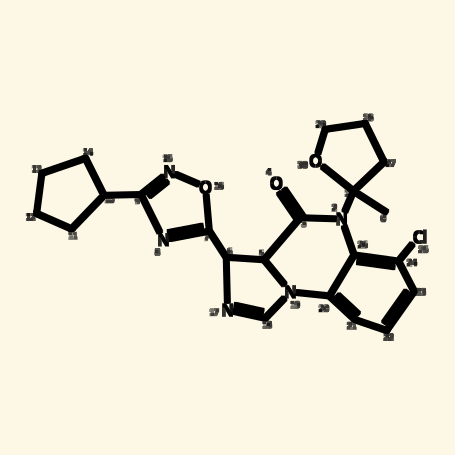 CC1(N2C(=O)C3C(c4nc(C5CCCC5)no4)N=CN3c3cccc(Cl)c32)CCCO1